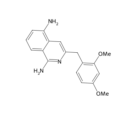 COc1ccc(Cc2cc3c(N)cccc3c(N)n2)c(OC)c1